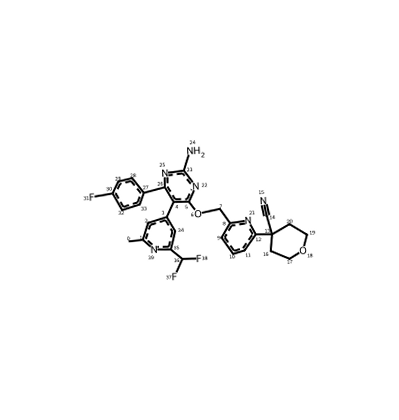 Cc1cc(-c2c(OCc3cccc(C4(C#N)CCOCC4)n3)nc(N)nc2-c2ccc(F)cc2)cc(C(F)F)n1